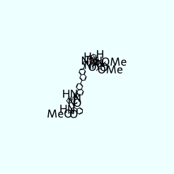 COC(=O)NC(C(=O)N1CCC[C@H]1c1nc2ccc3cc(-c4ccc5cc(-c6cnc([C@@H]7[C@H]8CC[C@H](C8)N7C(=O)C(NC(=O)OC)C(C)OC)[nH]6)ccc5c4)ccc3c2[nH]1)c1ccccc1